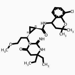 CCC1(CC)CC(=O)N(C(CCOC)[C@@H]2C[C@H]2C(=O)NC2CC(C)(C)Oc3c(Cl)cccc32)C(=N)N1